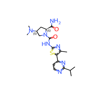 Cc1nc(NC(=O)N2C[C@@H](N(C)C)C[C@H]2C(N)=O)sc1-c1ccnc(C(C)C)n1